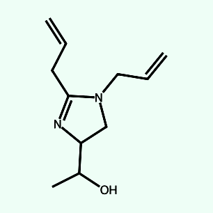 C=CCC1=NC(C(C)O)CN1CC=C